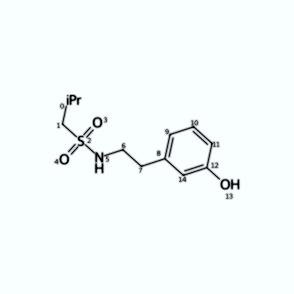 CC(C)CS(=O)(=O)NCCc1cccc(O)c1